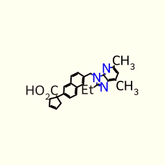 CCc1nc2c(C)cc(C)nc2n1Cc1ccc2cc(C3(C(=O)O)CC=CC3)ccc2c1